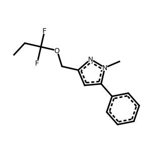 CCC(F)(F)OCc1cc(-c2ccccc2)n(C)n1